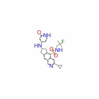 CC(C)(F)CNS(=O)(=O)c1c2c(cc3cnc(C4CC4)cc13)CC(Nc1cc[nH]c(=O)c1)C2